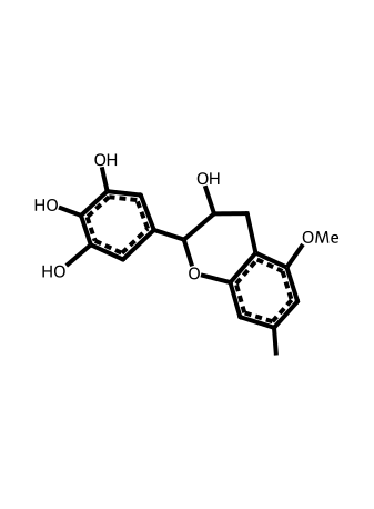 COc1cc(C)cc2c1CC(O)C(c1cc(O)c(O)c(O)c1)O2